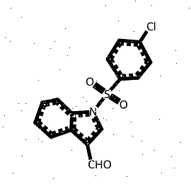 O=Cc1cn(S(=O)(=O)c2ccc(Cl)cc2)c2ccccc12